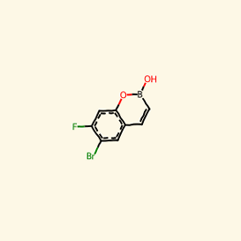 OB1C=Cc2cc(Br)c(F)cc2O1